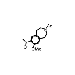 COc1cc2c(cc1[S+](C)[O-])CCN(C(C)=O)CC2